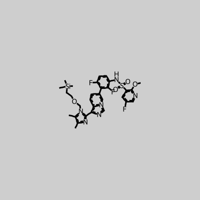 COc1ncc(F)cc1S(=O)(=O)Nc1ccc(F)c(-c2ccc3c(-c4nc(C)c(C)n4COCC[Si](C)(C)C)ncn3c2)c1F